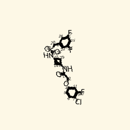 O=C(COc1ccc(Cl)c(F)c1)NC12CC(NS(=O)(=O)Cc3cc(F)cc(F)c3)(C1)C2